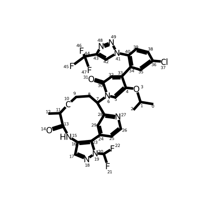 CC(C)Oc1cn(C2CCCC(C)C(=O)Nc3cnn(C(F)F)c3-c3ccnc2c3)c(=O)cc1-c1cc(Cl)ccc1-n1cc(C(F)(F)F)nn1